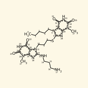 CCCCCn1c(SCCCn2c(NCCCN)nc3c2c(=O)[nH]c(=O)n3C)nc2c1c(=O)[nH]c(=O)n2C